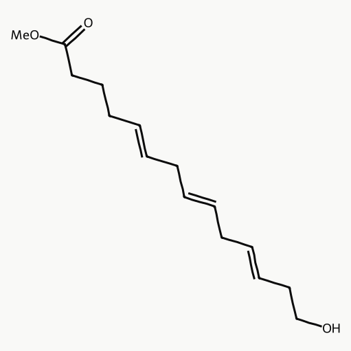 COC(=O)CCCC=CCC=CCC=CCCO